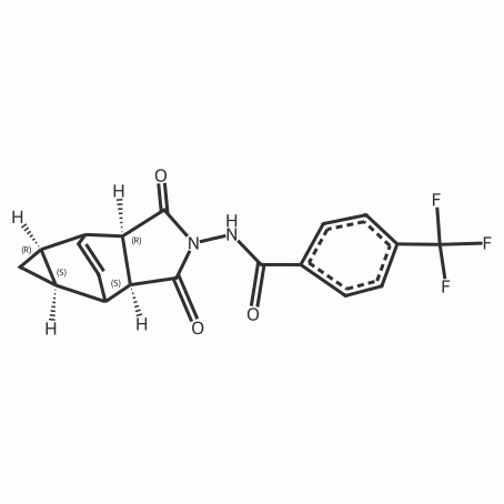 O=C(NN1C(=O)[C@@H]2C3C=CC([C@H]4C[C@@H]34)[C@@H]2C1=O)c1ccc(C(F)(F)F)cc1